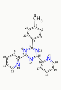 Cc1ccc(-c2nc(-c3ccccn3)nc(-c3ccccn3)n2)cc1